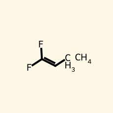 C.CC=C(F)F